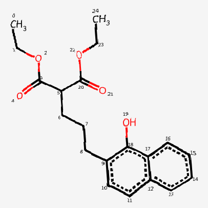 CCOC(=O)C(CCCc1ccc2ccccc2c1O)C(=O)OCC